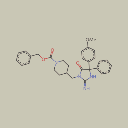 COc1ccc(C2(c3ccccc3)NC(=N)N(CC3CCN(C(=O)OCc4ccccc4)CC3)C2=O)cc1